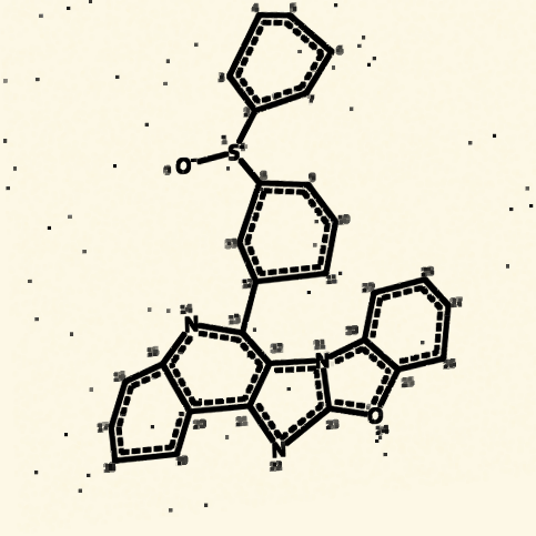 [O-][S+](c1ccccc1)c1cccc(-c2nc3ccccc3c3nc4oc5ccccc5n4c23)c1